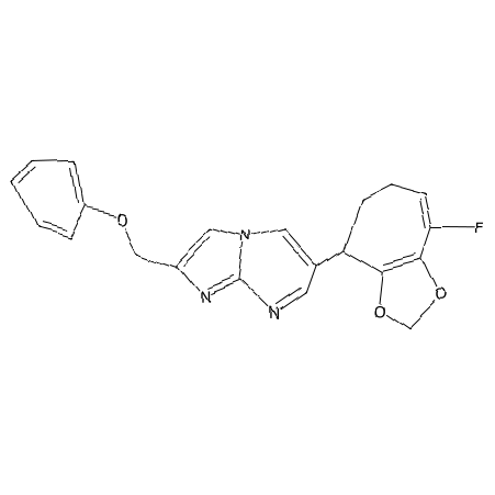 FC1=CCCC(c2cnc3nc(COc4ccccc4)cn3c2)C2=C1OCO2